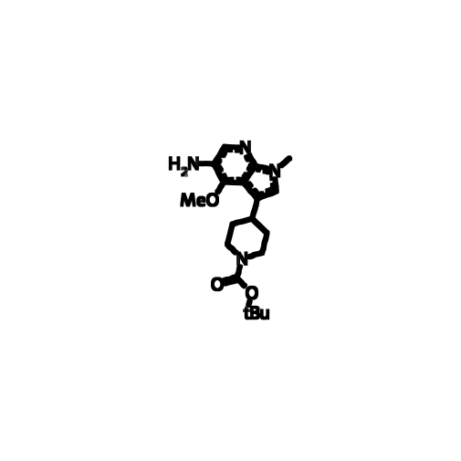 COc1c(N)cnc2c1c(C1CCN(C(=O)OC(C)(C)C)CC1)cn2C